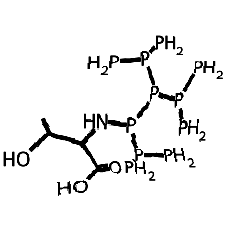 CC(O)C(NP(P(P)P)P(P(P)P)P(P)P)C(=O)O